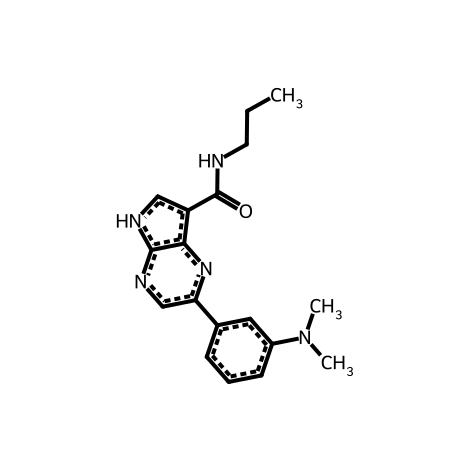 CCCNC(=O)c1c[nH]c2ncc(-c3cccc(N(C)C)c3)nc12